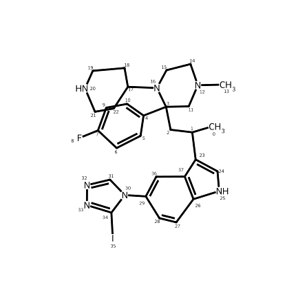 CC(CC1(c2ccc(F)cc2)CN(C)CCN1C1CCNCC1)c1c[nH]c2ccc(-n3cnnc3I)cc12